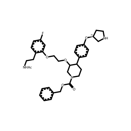 CC(=O)NCCc1ccc(F)cc1OCCOC1CN(C(=O)OCc2ccccc2)CCC1c1ccc(O[C@H]2CCNC2)cc1